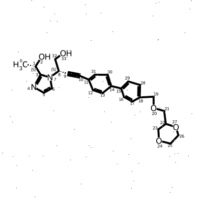 C[C@H](O)c1nccn1[C@@H](C#Cc1ccc(-c2ccc(COCC3COCCO3)cc2)cc1)CO